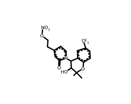 CC1(C)Oc2ccc(C(F)(F)F)cc2C(n2ccc(CCO[N+](=O)[O-])cc2=O)C1O